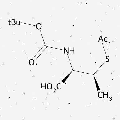 CC(=O)S[C@@H](C)[C@H](NC(=O)OC(C)(C)C)C(=O)O